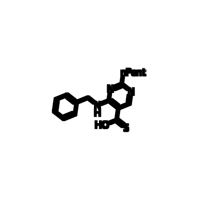 CCCCCc1ncc(C(O)=S)c(NCc2ccccc2)n1